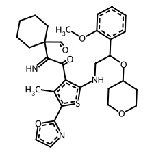 COc1ccccc1C(CNc1sc(-c2ncco2)c(C)c1C(=O)C(=N)C1(C=O)CCCCC1)OC1CCOCC1